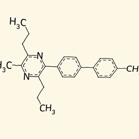 CCCc1nc(-c2ccc(-c3ccc(C)cc3)cc2)c(CCC)nc1C